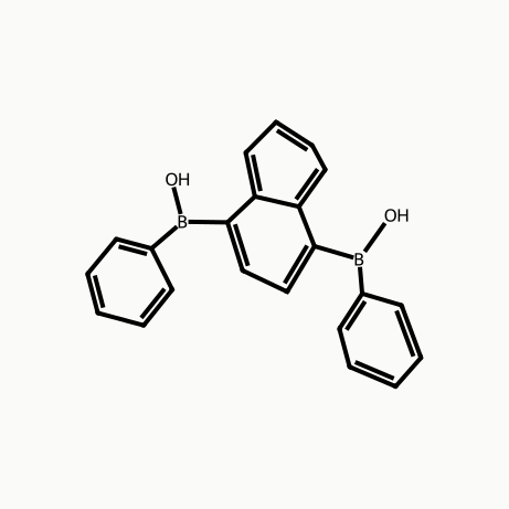 OB(c1ccccc1)c1ccc(B(O)c2ccccc2)c2ccccc12